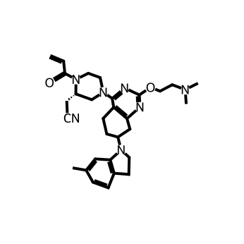 C=CC(=O)N1CCN(c2nc(OCCN(C)C)nc3c2CCC(N2CCc4ccc(C)cc42)C3)C[C@@H]1CC#N